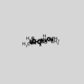 Cc1cn2nc(-c3cc(F)c4nc(NC(=O)C5CCC(N(C)C)C5)cn4c3)cc(C)c2n1